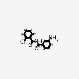 Nc1c[c]cc(C(=O)NC(=O)c2ccccc2Cl)c1